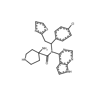 NC1(C(=O)N(c2ncnc3[nH]ccc23)C(Cc2nccs2)c2ccc(Cl)cc2)CCNCC1